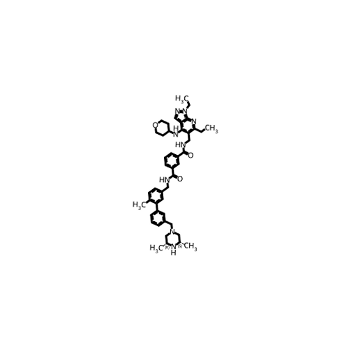 CCc1nc2c(cnn2CC)c(NC2CCOCC2)c1CNC(=O)c1cccc(C(=O)NCc2ccc(C)c(-c3cccc(CN4C[C@@H](C)N[C@@H](C)C4)c3)c2)c1